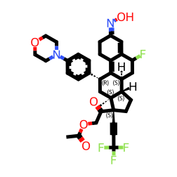 CC(=O)OCC(=O)[C@@]1(C#CC(F)(F)F)CC[C@H]2[C@@H]3CC(F)C4=CC(=NO)CCC4=C3[C@@H](c3ccc(N4CCOCC4)cc3)C[C@@]21C